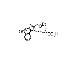 CCOCc1nc2c[n+]([O-])c3ccccc3c2n1CCCNC(=O)O